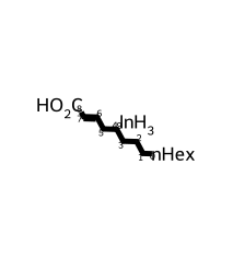 CCCCCCCCCCCC=CC(=O)O.[InH3]